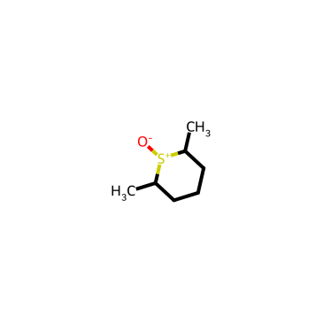 CC1CCCC(C)[S+]1[O-]